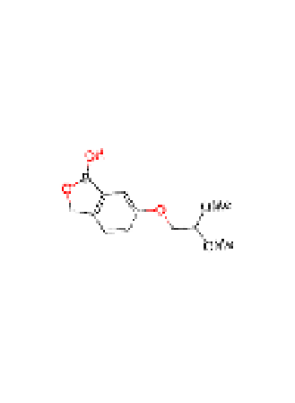 COC(COc1ccc2c(c1)B(O)OC2)OC